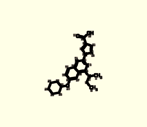 CCN(C)c1nc(-n2cc(C(=O)O)cn2)nc2ccc(OC3CCCCC3)cc12